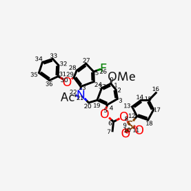 COc1ccc(OC(C)OS(=O)(=O)c2ccc(C)cc2)c(CN(C(C)=O)c2cc(F)ccc2Oc2ccccc2)c1